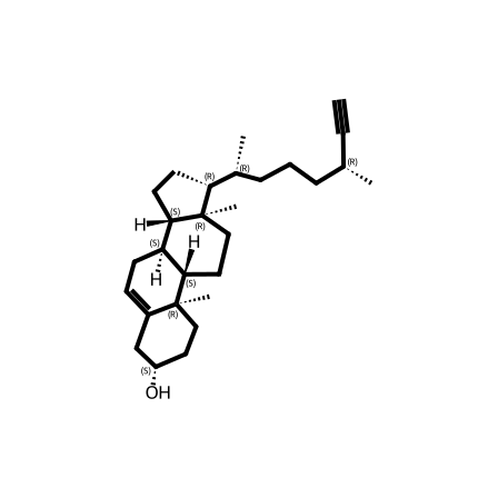 C#C[C@H](C)CCC[C@@H](C)[C@H]1CC[C@H]2[C@@H]3CC=C4C[C@@H](O)CC[C@]4(C)[C@H]3CC[C@]12C